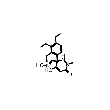 CCc1ccc(C2(C=NO)NN(C)C(=O)C=C2O)c(CC)c1CC